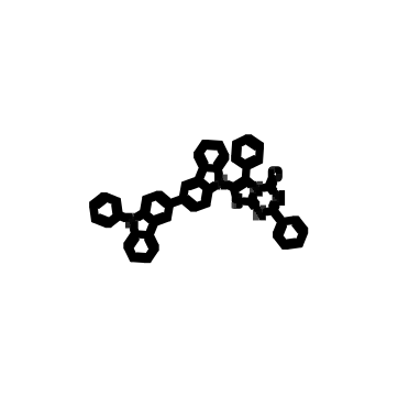 O=c1nc(-c2ccccc2)nc2sc(-n3c4ccccc4c4cc(-c5ccc6c(c5)c5ccccc5n6-c5ccccc5)ccc43)c(-c3ccccc3)n12